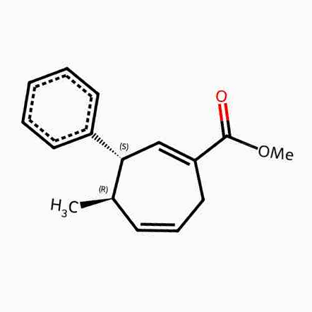 COC(=O)C1=C[C@@H](c2ccccc2)[C@H](C)C=CC1